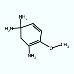 COC1=C(N)CC(N)(N)C=C1